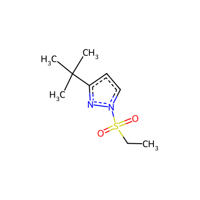 CCS(=O)(=O)n1ccc(C(C)(C)C)n1